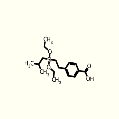 CCO[Si](CCc1ccc(C(=O)O)cc1)(CC(C)C)OCC